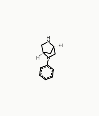 c1ccc(N2C[C@H]3C[C@@H]2CN3)cc1